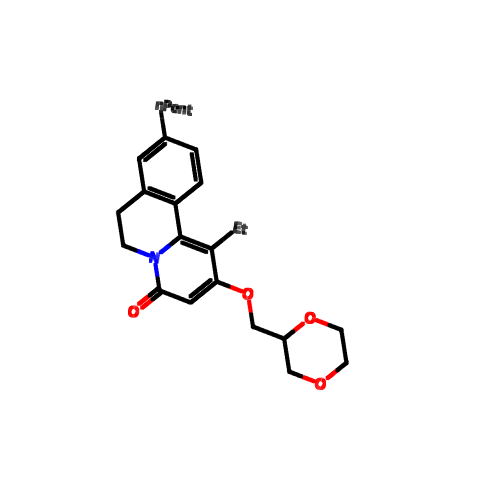 CCCCCc1ccc2c(c1)CCn1c-2c(CC)c(OCC2COCCO2)cc1=O